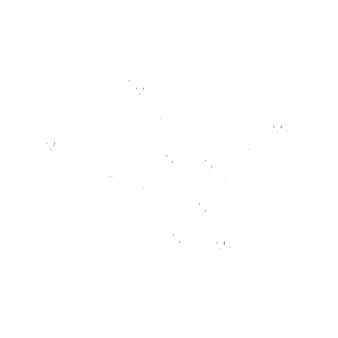 COc1cc(OC)c(C)c(-c2cc3cnc(SC)nc3c(N3CCC(C)(OC)CC3)n2)c1C